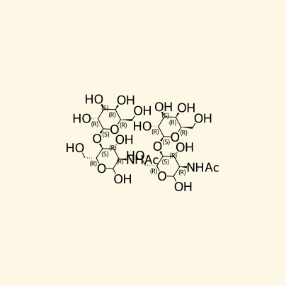 CC(=O)N[C@H]1C(O)O[C@H](CO)[C@@H](O[C@@H]2O[C@H](CO)[C@H](O)[C@H](O)[C@H]2O)[C@@H]1O.CC(=O)N[C@H]1C(O)O[C@H](CO)[C@@H](O[C@@H]2O[C@H](CO)[C@H](O)[C@H](O)[C@H]2O)[C@@H]1O